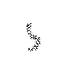 Cc1ccc(CN2CCC(c3ccc4nc(C(=O)N5CCN(Cc6ccc(C(F)(F)F)cc6)CC5)cn4c3)CC2)cn1